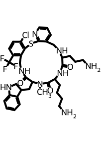 CN1C(=O)C(CCCCN)NC(=O)C(CCCN)NCc2cccnc2Sc2c(Cl)ccc(C(F)(F)F)c2CNC(=O)C1CC1CNc2ccccc21